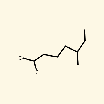 CCC(C)CCCC(Cl)Cl